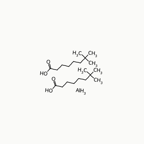 CC(C)(C)CCCCCC(=O)O.CC(C)(C)CCCCCC(=O)O.[AlH3]